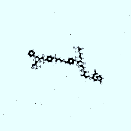 CN/C(=C\S)C(=O)N[C@@H](CSc1ccccc1)C(=O)Nc1ccc(NC(=O)CCSCc2ccc(NC(=O)[C@H](CCCNC(N)=O)NC(=O)CNC(=O)C(C)CCOC3CC(C)SC4CC(=O)N(C3)C4=O)cc2)cc1